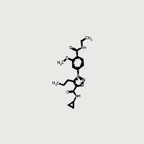 CCCc1c(C(=O)NC2CC2)nnn1-c1ccc(C(=O)NCC)c(OC)c1